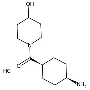 Cl.N[C@H]1CC[C@@H](C(=O)N2CCC(O)CC2)CC1